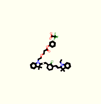 CC[N+]1=C(/C=C/C2=C(Cl)C(C=C=C3N(CCOCCC(=O)Oc4ccccc4)c4ccccc4C3(C)C)CCC2)C(C)(C)c2ccccc21.O=C([O-])C(F)(F)F